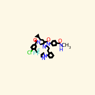 CNC(=O)c1ccc(-n2c(CCc3ccccc3-n3cccn3)nc3c(c2=O)CC(C2CC2)N(C(=O)c2ccc(Cl)c(C(F)(F)F)c2)C3)cc1